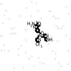 C[C@H]1OCc2c1c(N)nc1ccc(C(=O)N(Cc3ccc(C(F)(F)F)cn3)Cc3ccnc4[nH]ccc34)cc21